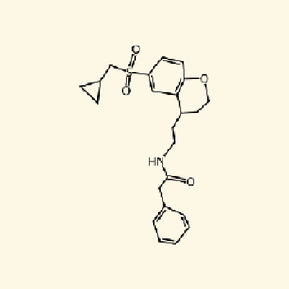 O=C(Cc1ccccc1)NCCC1CCOc2ccc(S(=O)(=O)CC3CC3)cc21